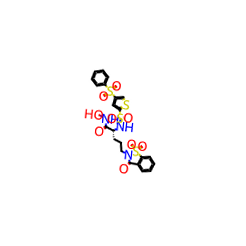 O=C(NO)[C@@H](CCCN1C(=O)c2ccccc2S1(=O)=O)NS(=O)(=O)c1cc(S(=O)(=O)c2ccccc2)cs1